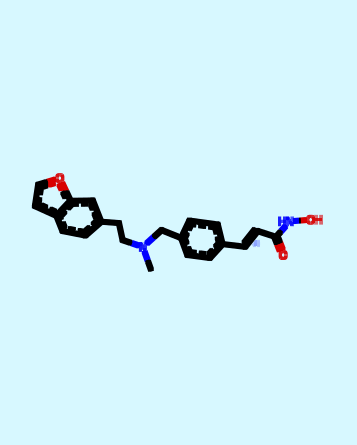 CN(CCc1ccc2ccoc2c1)Cc1ccc(/C=C/C(=O)NO)cc1